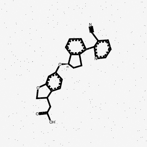 N#Cc1cccnc1-c1cccc2c1CC[C@H]2Oc1ccc2c(c1)OCC2CC(=O)O